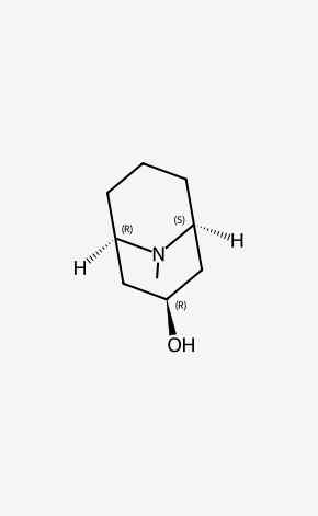 CN1[C@@H]2CCC[C@H]1C[C@@H](O)C2